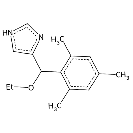 CCOC(c1c[nH]cn1)c1c(C)cc(C)cc1C